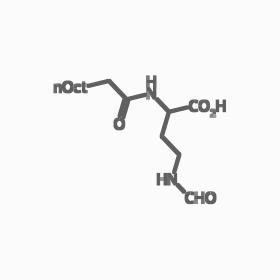 [CH2]CCCCCCCCC(=O)NC(CCNC=O)C(=O)O